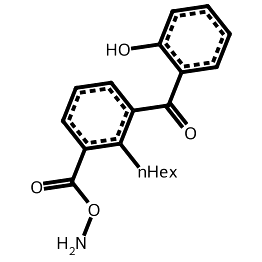 CCCCCCc1c(C(=O)ON)cccc1C(=O)c1ccccc1O